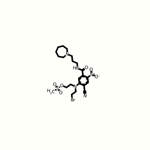 CS(=O)(=O)OCCN(CCBr)c1cc(C(=O)NCCCN2CCCCCC2)c([N+](=O)[O-])cc1C#N